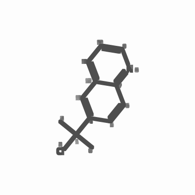 CC(C)(Cl)c1ccc2ncccc2c1